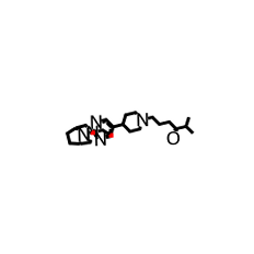 CCN1CC2CCC(C1)N2c1ncc(C2CCN(CCCC(=O)C(C)C)CC2)cn1